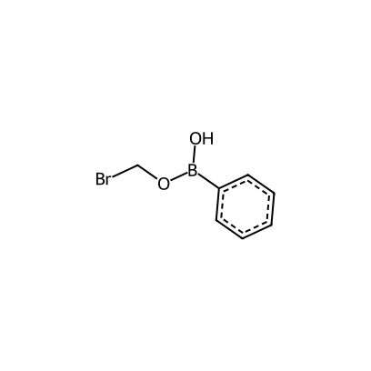 OB(OCBr)c1ccccc1